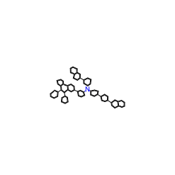 c1ccc(-c2c(-c3ccccc3)c3cc(-c4cccc(N(c5ccc(-c6ccc(-c7ccc8ccccc8c7)cc6)cc5)c5cccc(-c6ccc7ccccc7c6)c5)c4)ccc3c3ccccc23)cc1